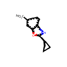 O=C(O)c1ccc2nc(C3CC3)oc2c1